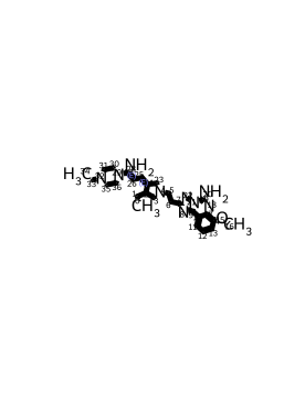 CCC1CN(CCc2nc3c4cccc(OC)c4nc(N)n3n2)C/C1=C/C=C(\N)N1CCN(CC)CC1